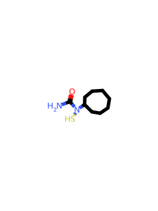 NC(=O)N(S)C1CCCCCCC1